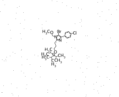 COCn1c(CCCO[Si](C(C)C)(C(C)C)C(C)C)nc(-c2ccc(Cl)cc2)c1Br